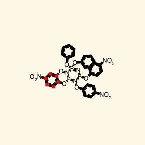 O=[N+]([O-])c1ccc(ON2P(Oc3ccc([N+](=O)[O-])cc3)N=P(Oc3ccccc3)(Oc3ccccc3)N(Oc3ccccc3)P2Oc2ccc([N+](=O)[O-])cc2)cc1